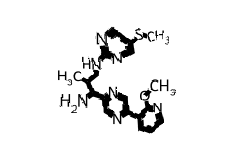 COc1ncccc1-c1cnc(C(N)C(C)CNc2ncc(SC)cn2)cn1